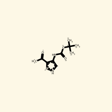 CC(=O)c1n[nH]cc1NC(=O)OC(C)(C)C